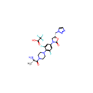 C[C@H](N)C(=O)N1CCN(c2c(F)cc(N3C[C@H](Cn4ccnn4)OC3=O)cc2F)CC1.O=C(O)C(F)(F)F